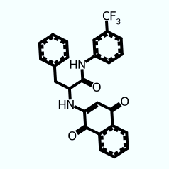 O=C1C=C(NC(Cc2ccccc2)C(=O)Nc2cccc(C(F)(F)F)c2)C(=O)c2ccccc21